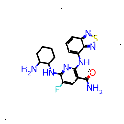 NC(=O)c1cc(F)c(NC2CCCCC2N)nc1Nc1cccc2nsnc12